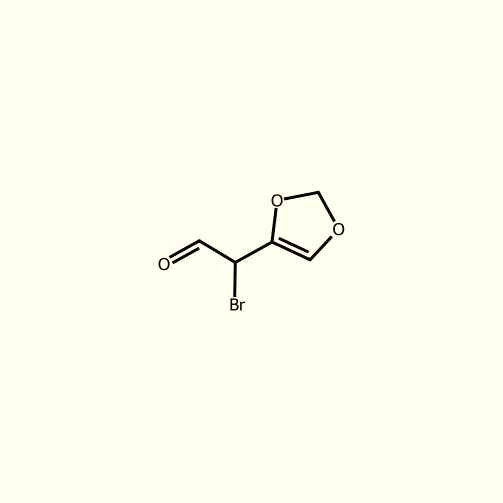 O=CC(Br)C1=COCO1